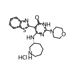 Cl.O=c1[nH]c(N2CCOCC2)nc(N[C@@H]2CCCCNC2)c1-c1nc2ccccc2s1